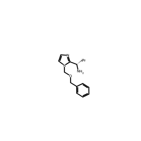 CC(C)[C@H](N)c1nccn1COCc1ccccc1